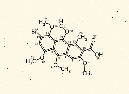 COc1cc2c(OC)c3c(OC)cc(Br)c(OC)c3c(OC)c2c(C)c1C(=O)O